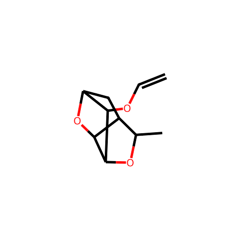 C=COC1C2CC3C(C)OC1C3O2